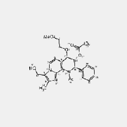 COCCO[C@@H]1c2ccn3c(CO)c(C)nc3c2N(C(C)=O)[C@H](c2ccccc2)[C@H]1OC(=O)C(C)(C)C